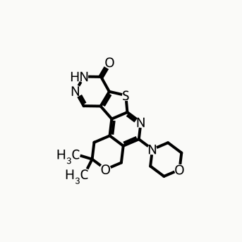 CC1(C)Cc2c(c(N3CCOCC3)nc3sc4c(=O)[nH]ncc4c23)CO1